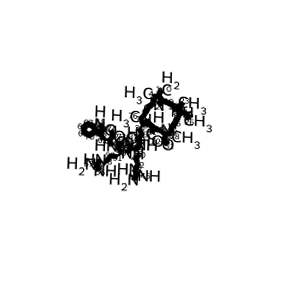 C=Cc1c(C)c2cc3nc(c(C)c4nc(cc5[nH]c(cc1[nH]2)c(C)c5CC)C(C)=C4C(=O)O)[C@@H](CCC(=O)N[C@@H](CCCNC(=N)N)C(=O)N[C@@H](CCCNC(=N)N)C(=O)N[C@@H](Cc1c[nH]c2ccccc12)C(=O)O)[C@@H]3C